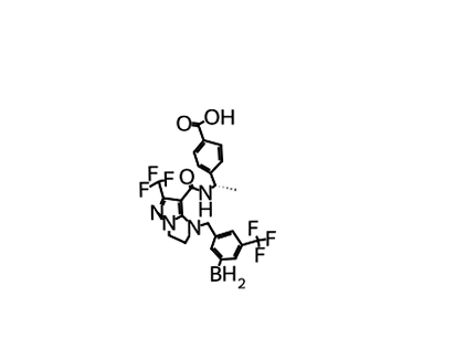 Bc1cc(CN2CCn3nc(C(F)(F)F)c(C(=O)N[C@@H](C)c4ccc(C(=O)O)cc4)c32)cc(C(F)(F)F)c1